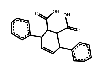 O=C(O)C1C(c2ccccc2)C=CC(c2ccccc2)C1C(=O)O